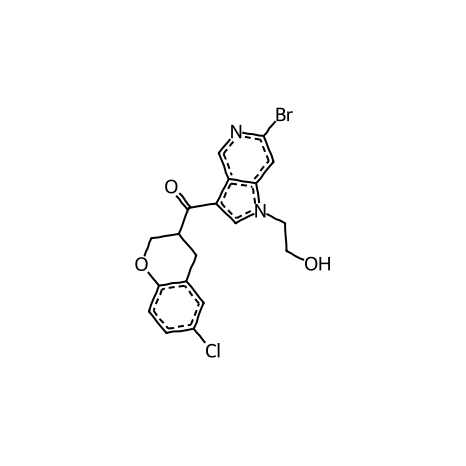 O=C(c1cn(CCO)c2cc(Br)ncc12)C1COc2ccc(Cl)cc2C1